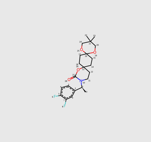 C[C@@H](c1ccc(F)c(F)c1)N1CCC2(CCC3(CC2)OCC(C)(C)CO3)OC1=O